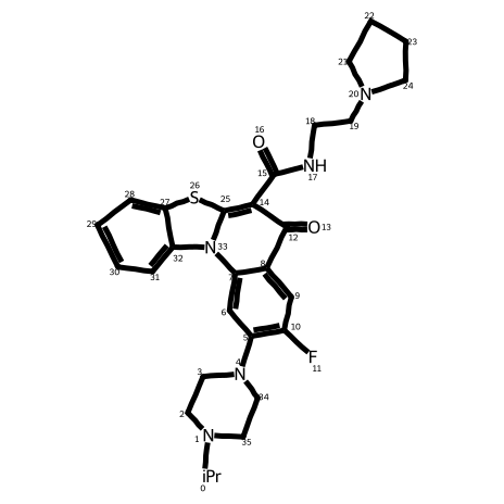 CC(C)N1CCN(c2cc3c(cc2F)c(=O)c(C(=O)NCCN2CCCC2)c2sc4ccccc4n23)CC1